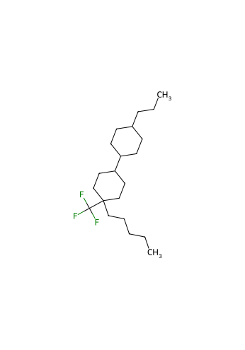 CCCCCC1(C(F)(F)F)CCC(C2CCC(CCC)CC2)CC1